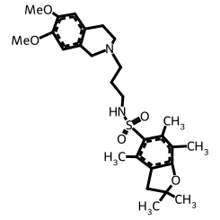 COc1cc2c(cc1OC)CN(CCCNS(=O)(=O)c1c(C)c(C)c3c(c1C)CC(C)(C)O3)CC2